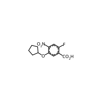 O=C(O)c1cc(OC2CCCC2)c([N+](=O)[O-])cc1F